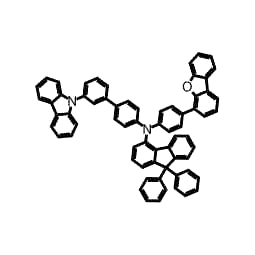 c1ccc(C2(c3ccccc3)c3ccccc3-c3c(N(c4ccc(-c5cccc(-n6c7ccccc7c7ccccc76)c5)cc4)c4ccc(-c5cccc6c5oc5ccccc56)cc4)cccc32)cc1